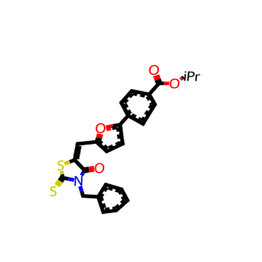 CC(C)OC(=O)c1ccc(-c2ccc(/C=C3/SC(=S)N(Cc4ccccc4)C3=O)o2)cc1